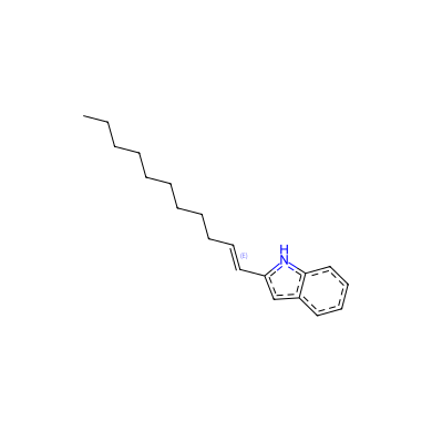 CCCCCCCCC/C=C/c1cc2ccccc2[nH]1